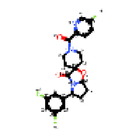 O=C(c1ccc(F)cn1)N1CCC2(CC1)OC1CCC(c3cc(F)cc(F)c3)N1C2=O